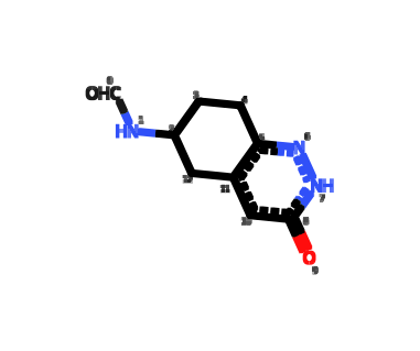 O=CNC1CCc2n[nH]c(=O)cc2C1